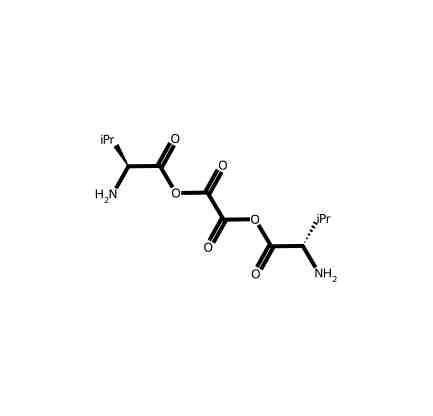 CC(C)[C@H](N)C(=O)OC(=O)C(=O)OC(=O)[C@@H](N)C(C)C